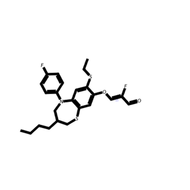 CCCCC1CSc2cc(O/C=C(\F)C=O)c(SCC)cc2N(c2ccc(F)cc2)C1